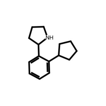 c1ccc(C2CCCN2)c(C2CCCC2)c1